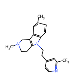 Cc1ccc2c(c1)c1c(n2CCc2ccnc(C(F)(F)F)c2)CCN(C)C1